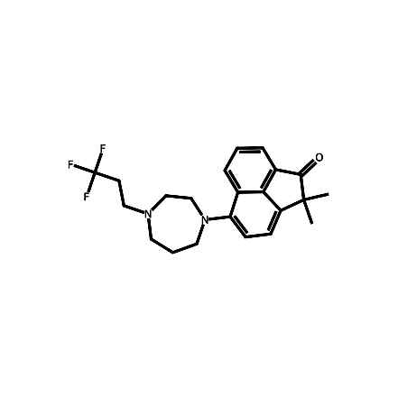 CC1(C)C(=O)c2cccc3c(N4CCCN(CCC(F)(F)F)CC4)ccc1c23